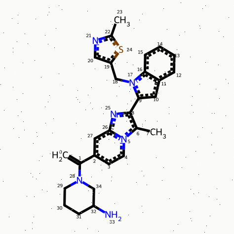 C=C(c1ccn2c(C)c(-c3cc4ccccc4n3Cc3cnc(C)s3)nc2c1)N1CCCC(N)C1